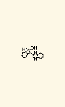 Oc1[nH]c2ccccc2c1-c1cnc2ccccc2n1